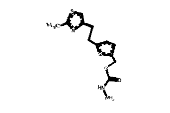 Cc1nc(CCc2ccc(COC(=O)NN)s2)cs1